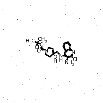 CC(C)(C)OC(=O)N1CCC(O)(CNc2c(N)c(Cl)nc3ccccc23)CC1